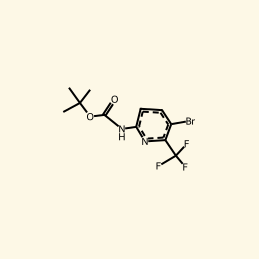 CC(C)(C)OC(=O)Nc1ccc(Br)c(C(F)(F)F)n1